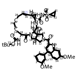 COc1cccc(-c2cc(C(=O)N3C[C@H]4CN5C(=O)[C@H](NC(=O)OC(C)(C)C)CCCCC/C=C\[C@@H]6C[C@@]6(C(=O)NS(=O)(=O)C6CC6)NC(=O)[C@@H]5[C@H]4C3)nc3cc(OC)ccc23)c1